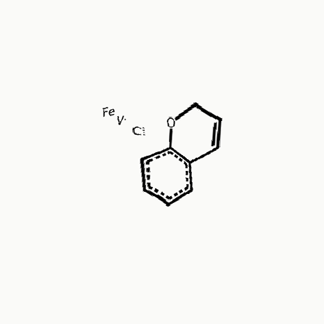 C1=Cc2ccccc2OC1.[C].[Fe].[V]